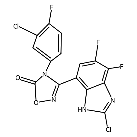 O=c1onc(-c2cc(F)c(F)c3nc(Cl)[nH]c23)n1-c1ccc(F)c(Cl)c1